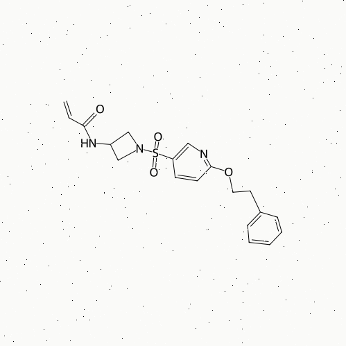 C=CC(=O)NC1CN(S(=O)(=O)c2ccc(OCCc3ccccc3)nc2)C1